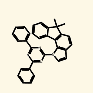 CC1(C)c2ccccc2-c2c1ccc1ccn(-c3nc(-c4ccccc4)nc(-c4ccccc4)n3)c21